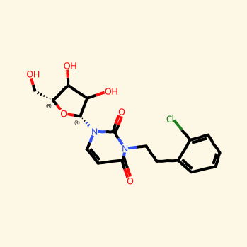 O=c1ccn([C@@H]2O[C@H](CO)C(O)C2O)c(=O)n1CCc1ccccc1Cl